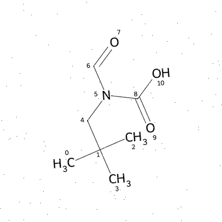 CC(C)(C)CN(C=O)C(=O)O